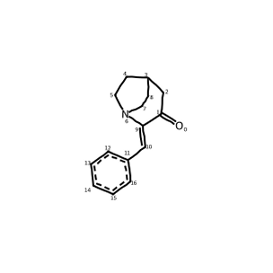 O=C1CC2CCN(CC2)C1=Cc1ccccc1